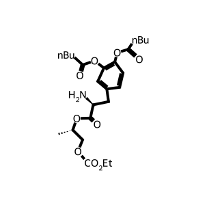 CCCCC(=O)Oc1ccc(C[C@H](N)C(=O)O[C@@H](C)COC(=O)OCC)cc1OC(=O)CCCC